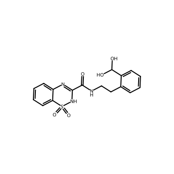 O=C(NCCc1ccccc1C(O)O)C1=Nc2ccccc2S(=O)(=O)N1